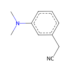 CN(C)c1cccc(CC#N)c1